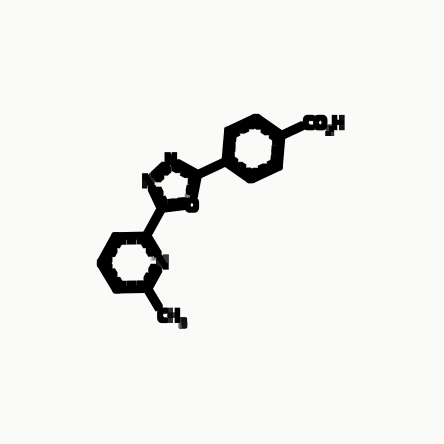 Cc1cccc(-c2nnc(-c3ccc(C(=O)O)cc3)o2)n1